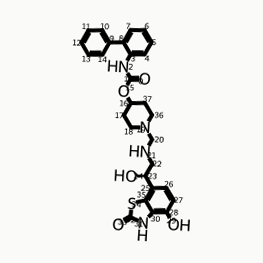 O=C(Nc1ccccc1-c1ccccc1)OC1CCN(CNC[C@H](O)c2ccc(O)c3[nH]c(=O)sc23)CC1